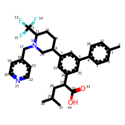 Cc1ccc(-c2cc(C3CCC(C(F)(F)F)N(Cc4ccncc4)C3)cc(C(CC(C)C)C(=O)O)c2)cc1